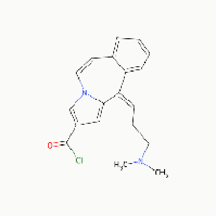 CN(C)CCC=C1c2ccccc2C=Cn2cc(C(=O)Cl)cc21